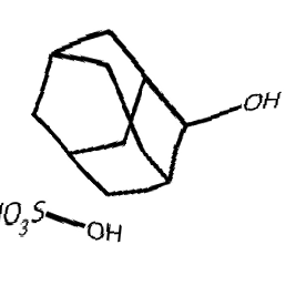 O=S(=O)(O)O.OC1C2CC3CC(C2)CC1C3